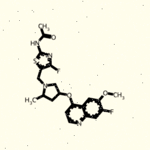 COc1cc2c(OC3CC(C)N(Cc4sc(NC(C)=O)nc4F)C3)ccnc2cc1F